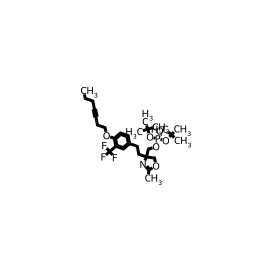 CCCC#CCCOc1ccc(CCC2(COP(=O)(OC(C)(C)C)OC(C)(C)C)COC(C)=N2)cc1C(F)(F)F